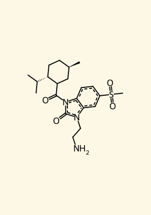 CC(C)[C@@H]1CC[C@@H](C)CC1C(=O)n1c(=O)n(CCN)c2cc(S(C)(=O)=O)ccc21